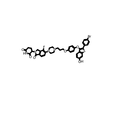 O=C1CCC(N2Cc3c(ccc(N4CCN(CCCOc5ccc(Oc6c(-c7ccc(Br)cc7)sc7cc(O)ccc67)cc5)CC4)c3F)C2=O)C(=O)N1